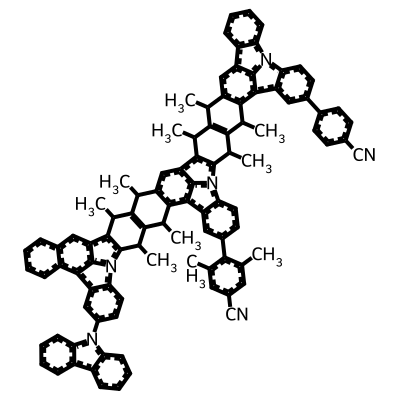 Cc1cc(C#N)cc(C)c1-c1ccc2c(c1)c1c3c(cc4c5c(n2c41)C(C)C1=C(C(C)c2cc4c6ccccc6n6c7ccc(-c8ccc(C#N)cc8)cc7c(c2C1C)c46)C5C)C(C)C1=C(C3C)C(C)c2c(c3cc4ccccc4c4c5cc(-n6c7ccccc7c7ccccc76)ccc5n2c34)C1C